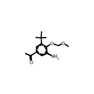 COCOc1c(N)cc(C(C)=O)cc1C(C)(C)C